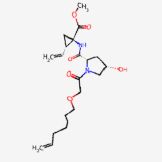 C=CCCCCOCC(=O)N1C[C@@H](O)C[C@H]1C(=O)N[C@]1(C(=O)OC)C[C@H]1C=C